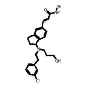 O=C(/C=C/c1ccc2c(c1)CCC2N(CCCO)CCc1cccc(Cl)c1)NO